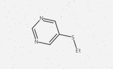 CCSc1cncnc1